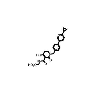 O=C(O)CNC(=O)C1=C(O)CCN(Cc2ccc(-c3ccc(C4CC4)nc3)cc2)C1=O